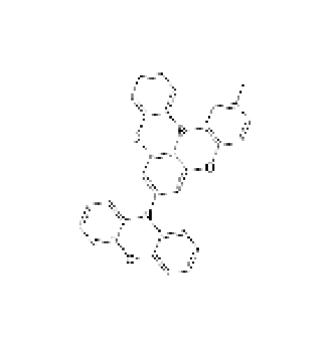 Cc1ccc2c(c1)B1c3ccccc3Oc3cc(N4c5ccccc5Oc5ccccc54)cc(c31)O2